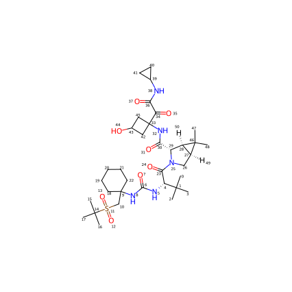 CC(C)(C)[C@H](NC(=O)NC1(CS(=O)(=O)C(C)(C)C)CCCCC1)C(=O)N1C[C@H]2[C@@H]([C@H]1C(=O)NC1(C(=O)C(=O)NC3CC3)CC(O)C1)C2(C)C